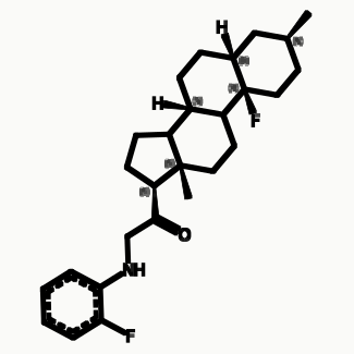 C[C@H]1CC[C@]2(F)C3CC[C@@]4(C)C(CC[C@@H]4C(=O)CNc4ccccc4F)[C@@H]3CC[C@@H]2C1